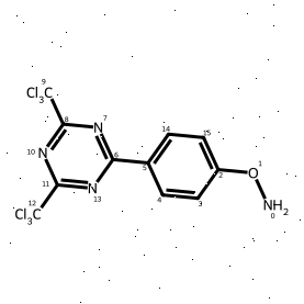 NOc1ccc(-c2nc(C(Cl)(Cl)Cl)nc(C(Cl)(Cl)Cl)n2)cc1